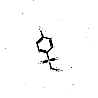 Cc1ccc(S(=O)(=O)[CH]O)cc1